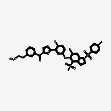 Cc1ccc(S(=O)(=O)n2ccc3c(S(C)(=O)=O)c(Oc4ccc(F)c(-c5nc(C(=O)c6cccc(CCC(=O)O)c6)cs5)c4)c(F)cc32)cc1